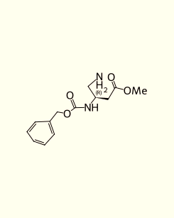 COC(=O)C[C@H](CN)NC(=O)OCc1ccccc1